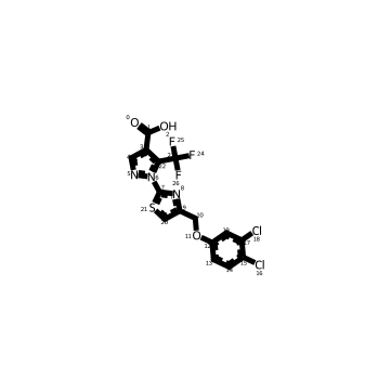 O=C(O)c1cnn(-c2nc(COc3ccc(Cl)c(Cl)c3)cs2)c1C(F)(F)F